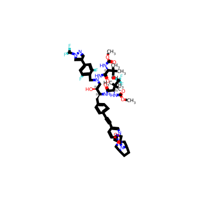 COC(=O)N[C@H](C(=O)NN(Cc1c(F)cc(-c2cnn(C(F)F)c2)cc1F)C[C@H](O)[C@H](Cc1ccc(C#Cc2ccc(N3CC4CCC(C3)N4C3COC3)nc2)cc1)NC(=O)[C@@H](NC(=O)OC)C(C)(C)C(F)(F)F)C(C)(C)C